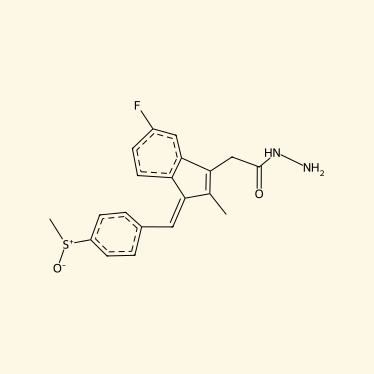 CC1=C(CC(=O)NN)c2cc(F)ccc2/C1=C\c1ccc([S+](C)[O-])cc1